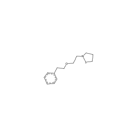 c1ccc(CCOCCN2CCCS2)cc1